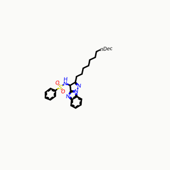 CCCCCCCCCCCCCCCCCC1=Nn2c(nc3ccccc32)C1NS(=O)(=O)c1ccccc1